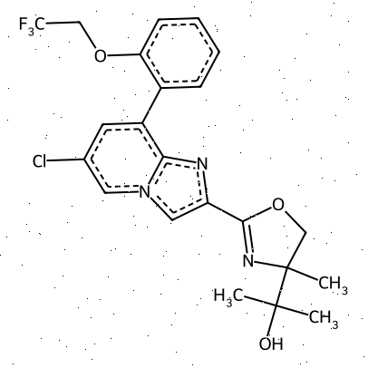 CC(C)(O)C1(C)COC(c2cn3cc(Cl)cc(-c4ccccc4OCC(F)(F)F)c3n2)=N1